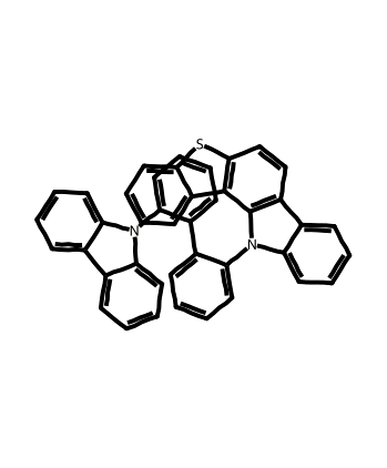 c1ccc(-n2c3ccccc3c3ccccc32)c(-c2ccccc2-n2c3ccccc3c3ccc4sc5ccccc5c4c32)c1